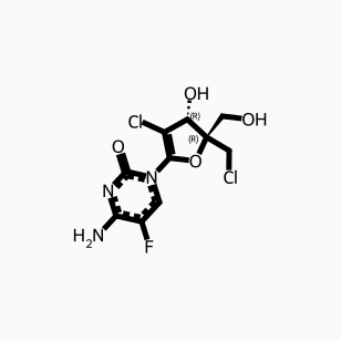 Nc1nc(=O)n(C2=C(Cl)[C@H](O)[C@](CO)(CCl)O2)cc1F